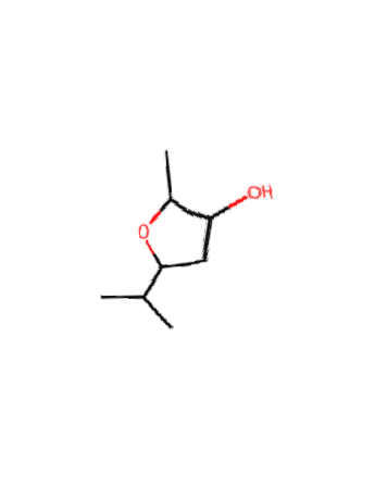 CC(C)C1CC(O)C(C)O1